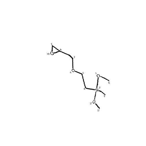 CO[Si](C)(CCOCC1CO1)OC